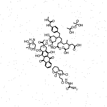 CC(=O)O.CC(=O)[C@]1(O)Cc2c(O)c3c(c(O)c2[C@@H](O[C@H]2C[C@H](N)[C@H](O)[C@H](C)O2)C1)C(=O)c1ccccc1C3=O.CNC(=O)Nc1ccc(CC(CN(CC(=O)O)CC(C)N(CC(=O)O)CC(=O)O)N(CC(=O)O)CC(=O)O)cc1.CS(=O)(=O)O.NC(=O)NO.O=P1(NCCCl)OCCCN1CCCl